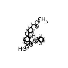 CCOC(=O)CC1CCC(C)(OC2CC3CC(OO)CC(C(=O)OCc4ccccc4)(C3)C2)CC1